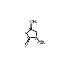 C=C1CC(=O)C(C(C)(C)C)C1